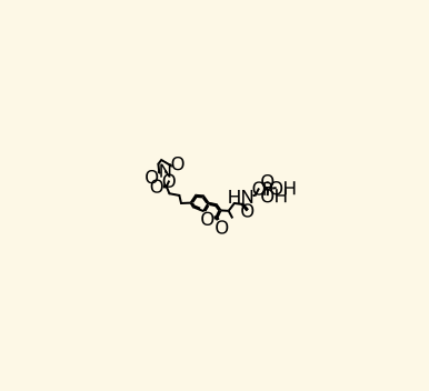 CC(CC(=O)NCOP(=O)(O)O)c1cc2ccc(CCCC(=O)ON3C(=O)CCC3=O)cc2oc1=O